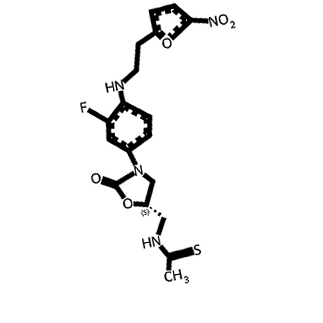 CC(=S)NC[C@H]1CN(c2ccc(NCCc3ccc([N+](=O)[O-])o3)c(F)c2)C(=O)O1